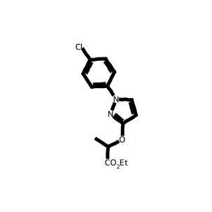 CCOC(=O)C(C)Oc1ccn(-c2ccc(Cl)cc2)n1